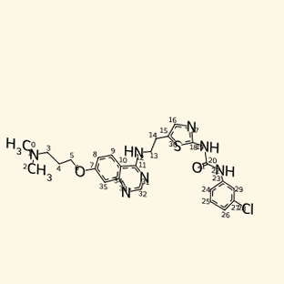 CN(C)CCCOc1ccc2c(NCCc3cnc(NC(=O)Nc4cccc(Cl)c4)s3)ncnc2c1